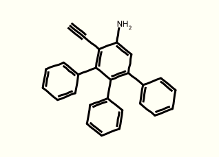 C#Cc1c(N)cc(-c2ccccc2)c(-c2ccccc2)c1-c1ccccc1